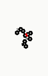 CC1(C)c2ccccc2-c2cc(N(c3ccc(-c4ccc5ccc6sc7ccccc7c6c5c4)cc3)c3ccccc3-c3cccc4ccccc34)ccc21